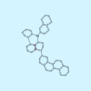 c1ccc(-c2ccccc2N(c2ccc(-c3ccc4ccc5c6ccccc6ccc5c4c3)cc2)c2ccc3ccccc3c2)cc1